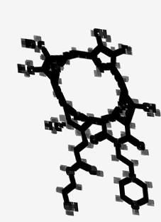 CCC1=C(C)c2cc3[nH]c(cc4nc(c5c6[nH]c(cc1n2)c(C)c6C(=O)N(CCN1CCOCC1)C5=O)[C@@H](CCC(=O)OCCO)[C@@H]4C)c(C)c3C(=O)O